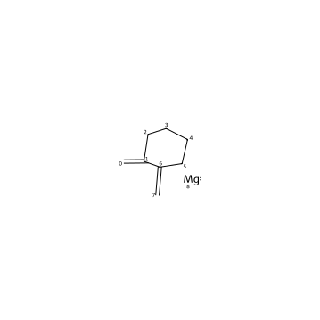 C=C1CCCCC1=C.[Mg]